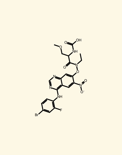 CCN(Oc1cc2ncnc(Nc3ccc(Br)cc3F)c2cc1[N+](=O)[O-])C(=O)C(COC)NC(=O)O